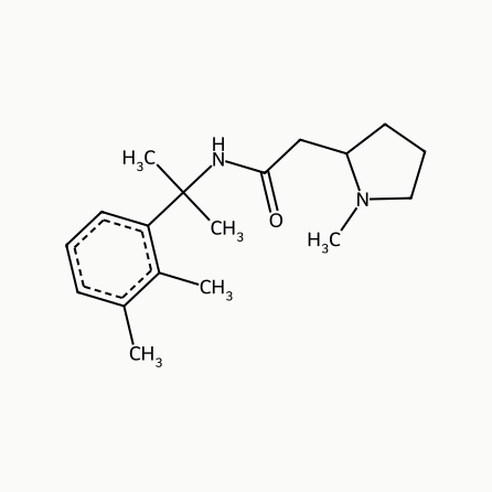 Cc1cccc(C(C)(C)NC(=O)CC2CCCN2C)c1C